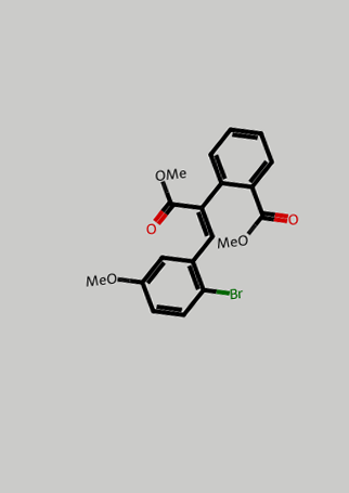 COC(=O)C(=Cc1cc(OC)ccc1Br)c1ccccc1C(=O)OC